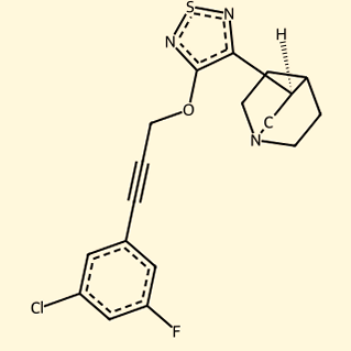 Fc1cc(Cl)cc(C#CCOc2nsnc2[C@@H]2CN3CCC2CC3)c1